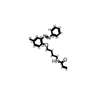 C=CC(=O)NCCCCOc1ccc(C)cc1N=Nc1ccccc1